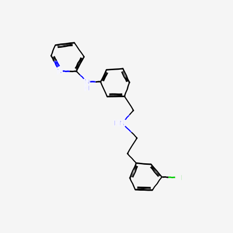 Clc1cccc(CCNCc2cccc(Nc3ccccn3)c2)c1